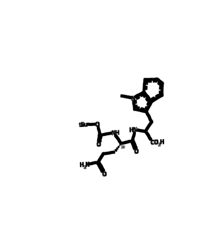 Cn1cc(CC(NC(=O)[C@H](CCC(N)=O)NC(=O)OC(C)(C)C)C(=O)O)c2ccccc21